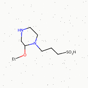 CCOC1CNCCN1CCCS(=O)(=O)O